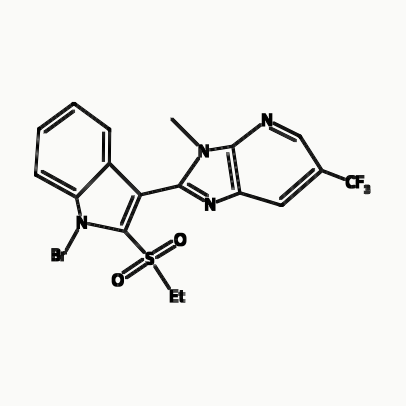 CCS(=O)(=O)c1c(-c2nc3cc(C(F)(F)F)cnc3n2C)c2ccccc2n1Br